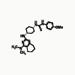 COc1ccc(NC(=S)N[C@H]2CC[C@@H](Nc3nc4c(c(N(C)C)n3)CCCC4)CC2)cc1